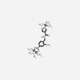 Cc1cc(B2OC(C)(C)C(C)(C)O2)ccc1CNC(=O)c1cnn(C(C)(C)C)c1